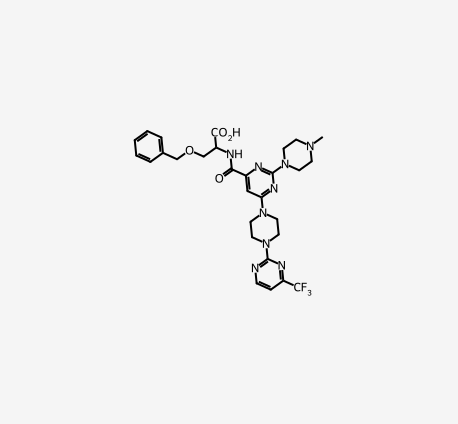 CN1CCN(c2nc(C(=O)NC(COCc3ccccc3)C(=O)O)cc(N3CCN(c4nccc(C(F)(F)F)n4)CC3)n2)CC1